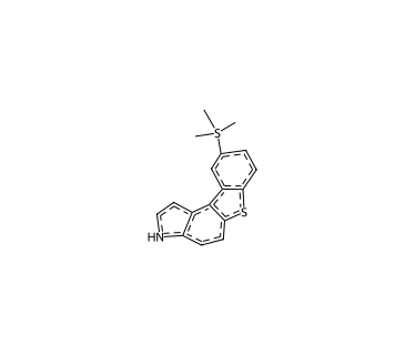 CS(C)(C)c1ccc2sc3ccc4[nH]ccc4c3c2c1